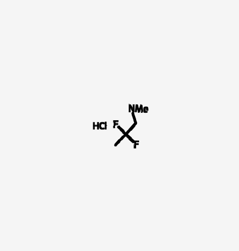 CNCC(C)(F)F.Cl